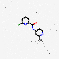 Cc1cc(NC(=O)c2cccc(Cl)n2)ccn1